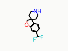 FC(F)c1ccc2c(c1)OCC21CCNCC1